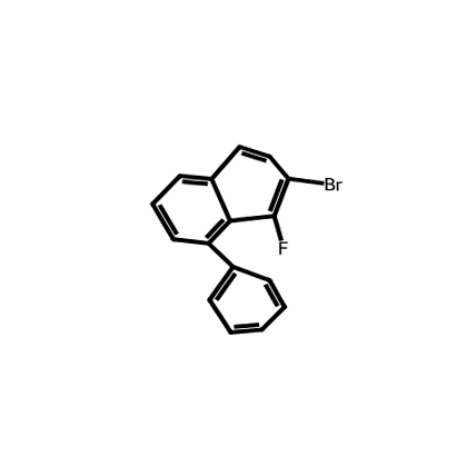 Fc1c(Br)ccc2cccc(-c3ccccc3)c12